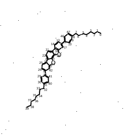 CCCCCCCCc1ccc(-c2ccc3c(c2)oc2c3ccc3c4ccc(-c5ccc(CCCCCCCC)cc5)cc4oc32)cc1